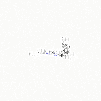 CC(C)=CCC/C(C)=C/CC/C(C)=C/CC[C@]1(C)CCc2c3c(cc(C)c2O1)OCN(CCO)C3